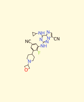 N#Cc1cc(Nc2nc(NC3CC3)c3ncc(C#N)n3n2)c(F)c(C2CCN(C3COC3)CC2)c1